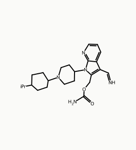 CC(C)C1CCC(N2CCC(n3c(COC(N)=O)c(C=N)c4cccnc43)CC2)CC1